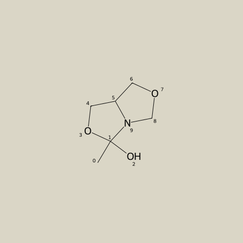 CC1(O)OCC2COCN21